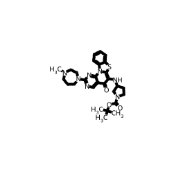 CN1CCCN(c2ncc3c(=O)c(NC4CCN(C(=O)OC(C)(C)C)C4)c4sc5ccccc5n4c3n2)CC1